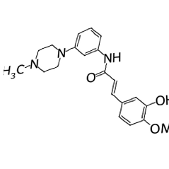 COc1ccc(C=CC(=O)Nc2cccc(N3CCN(C)CC3)c2)cc1O